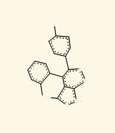 Cc1ccc(-c2nnc3[nH]nc(N)c3c2-c2ccccc2C)cc1